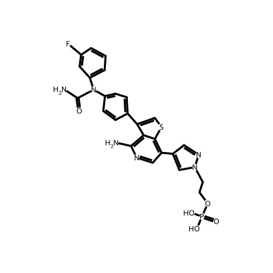 NC(=O)N(c1ccc(-c2csc3c(-c4cnn(CCOP(=O)(O)O)c4)cnc(N)c23)cc1)c1cccc(F)c1